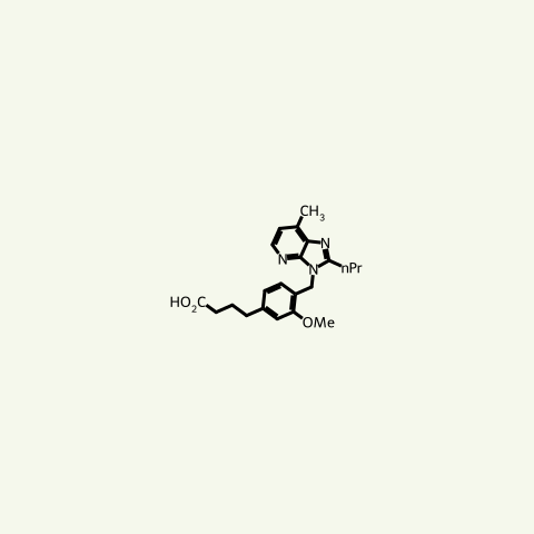 CCCc1nc2c(C)ccnc2n1Cc1ccc(CCCC(=O)O)cc1OC